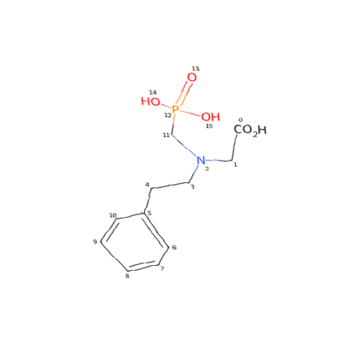 O=C(O)CN(CCc1ccccc1)CP(=O)(O)O